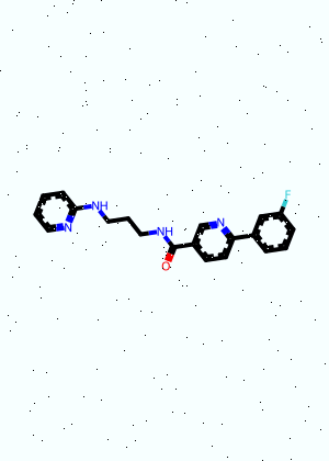 O=C(NCCCNc1ccccn1)c1ccc(-c2cccc(F)c2)nc1